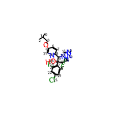 CC(C)COc1ccc(C(n2cnnn2)C(O)(c2ccc(Cl)cc2F)C(F)F)nc1